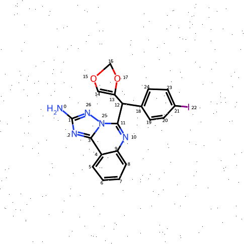 Nc1nc2c3ccccc3nc(C(C3=COCO3)c3ccc(I)cc3)n2n1